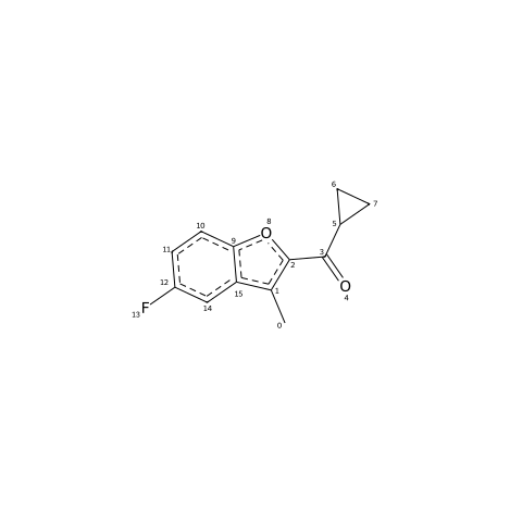 Cc1c(C(=O)C2CC2)oc2ccc(F)cc12